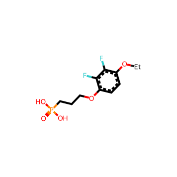 CCOc1ccc(OCCCP(=O)(O)O)c(F)c1F